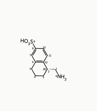 NC[C@@H]1CCCc2cc(S(=O)(=O)O)ccc21